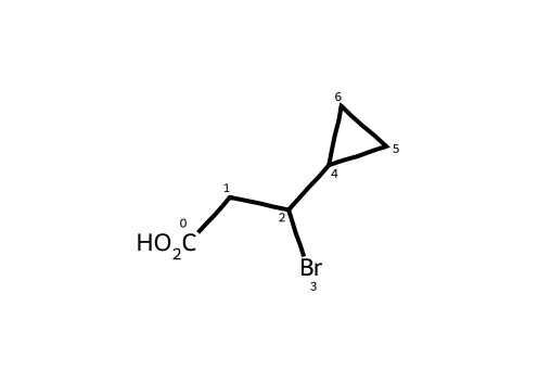 O=C(O)CC(Br)C1CC1